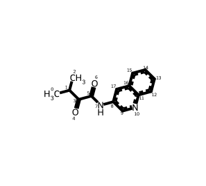 CC(C)C(=O)C(=O)Nc1cnc2ccccc2c1